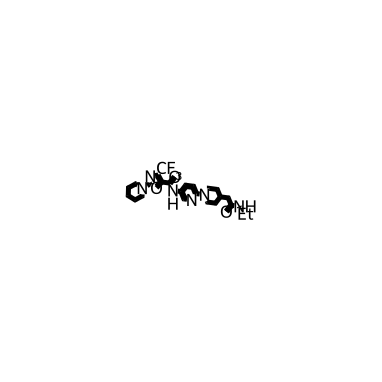 CCNC(=O)CC1CCN(c2ccc(NC(=O)c3oc(N4CCCCC4)nc3C(F)(F)F)cn2)CC1